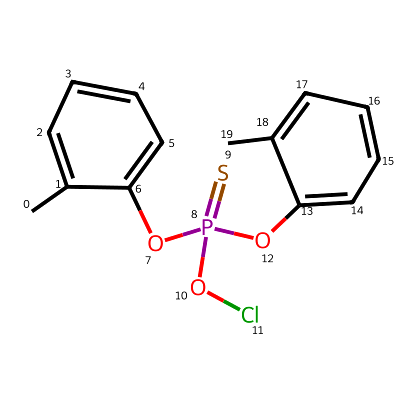 Cc1ccccc1OP(=S)(OCl)Oc1ccccc1C